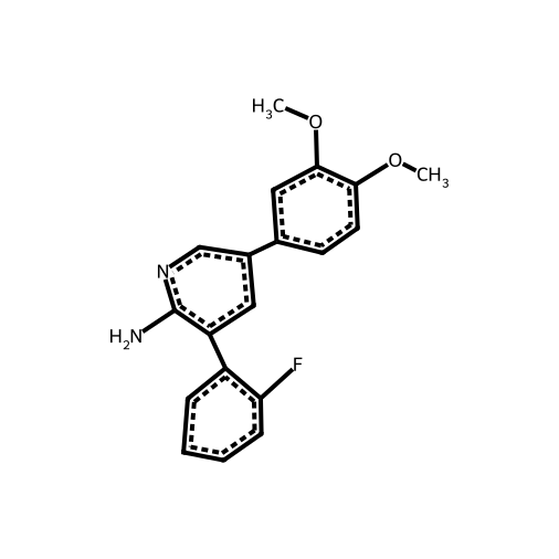 COc1ccc(-c2cnc(N)c(-c3ccccc3F)c2)cc1OC